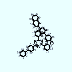 c1ccc(-c2ccc(-c3nc(-c4ccccc4)nc(-c4cccc5oc6ccc(-c7ccc(-c8ccc9ccccc9c8)cc7)cc6c45)n3)cc2)cc1